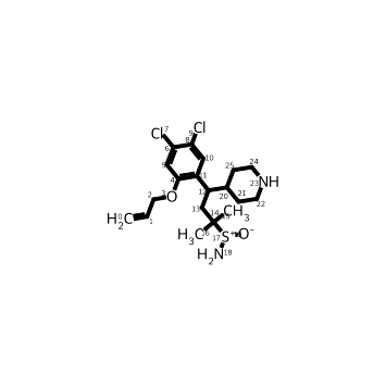 C=CCOc1cc(Cl)c(Cl)cc1C(CC(C)(C)[S+](N)[O-])C1CCNCC1